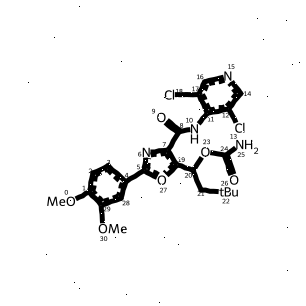 COc1ccc(-c2nc(C(=O)Nc3c(Cl)cncc3Cl)c(C(CC(C)(C)C)OC(N)=O)o2)cc1OC